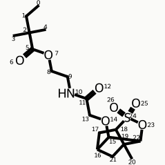 CCC(C)(C)C(=O)OCCNC(=O)COC1C2CC3C(C)(C2)C1OS3(=O)=O